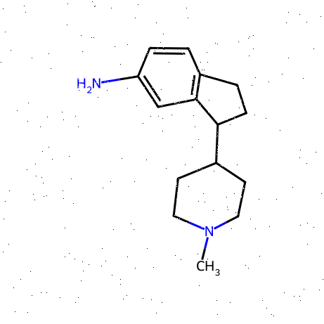 CN1CCC(C2CCc3ccc(N)cc32)CC1